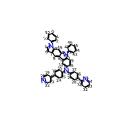 c1ccc(-n2ccc3cc4c5cc(N(c6ccc(-c7ccncc7)cc6)c6ccc(-c7ccccn7)cc6)ccc5n(-c5ccccc5)c4cc32)cc1